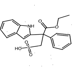 CCOC(=O)C(CS(=O)(=O)O)(c1ccccc1)c1cc2ccccc2[nH]1